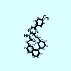 COc1ccc(-c2cnc(NC(=O)Cc3ccc4ccccc4c3)c(CCC3CCCCC3)n2)cc1